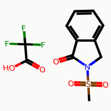 CS(=O)(=O)N1Cc2ccccc2C1=O.O=C(O)C(F)(F)F